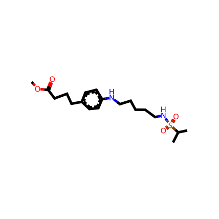 COC(=O)CCCc1ccc(NCCCCCNS(=O)(=O)C(C)C)cc1